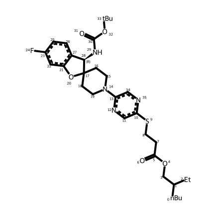 CCCCC(CC)COC(=O)CCSc1cnc(N2CCC3(CC2)Oc2cc(F)ccc2[C@H]3NC(=O)OC(C)(C)C)cn1